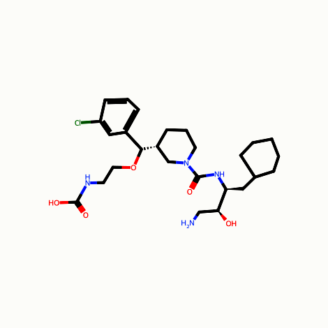 NC[C@H](O)[C@H](CC1CCCCC1)NC(=O)N1CCC[C@@H](C(OCCNC(=O)O)c2cccc(Cl)c2)C1